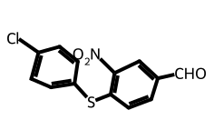 O=Cc1ccc(Sc2ccc(Cl)cc2)c([N+](=O)[O-])c1